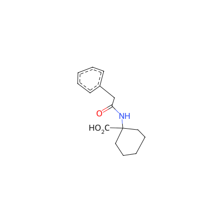 O=C(Cc1ccccc1)NC1(C(=O)O)CCCCC1